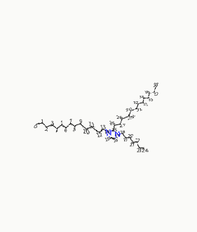 CCCCCCCCCCCCCCN1C=CN(CCCCCCC)C1CCCCCCCCCCCCC